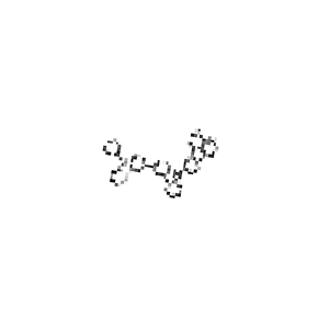 c1ccc(-n2c3ccccc3c3cc(-c4ccc5c(c4)c4ccccc4n5-c4ccc5c(c4)-c4ccnc6nccc-5c46)ccc32)cc1